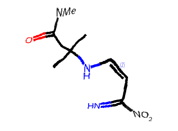 CNC(=O)C(C)(C)N/C=C\C(=N)[N+](=O)[O-]